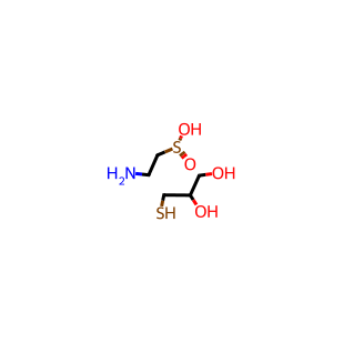 NCCS(=O)O.OCC(O)CS